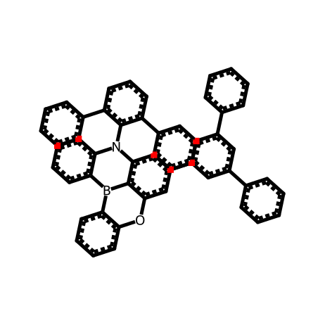 c1ccc(-c2cc(-c3ccccc3)cc(-c3cc4c5c(c3)N(c3c(-c6ccccc6)cccc3-c3ccccc3)c3ccccc3B5c3ccccc3O4)c2)cc1